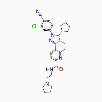 N#Cc1ccc(N2N=C3c4ccc(C(=O)NCCN5CCCC5)nc4CCC3C2C2CCCC2)cc1Cl